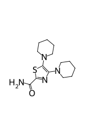 NC(=O)c1nc(N2CCCCC2)c(N2CCCCC2)s1